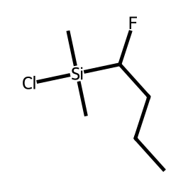 CCCC(F)[Si](C)(C)Cl